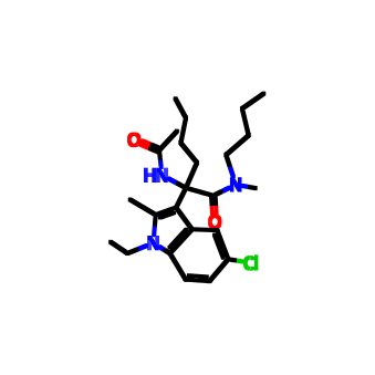 CCCCN(C)C(=O)C(CCCC)(NC(C)=O)c1c(C)n(CC)c2ccc(Cl)cc12